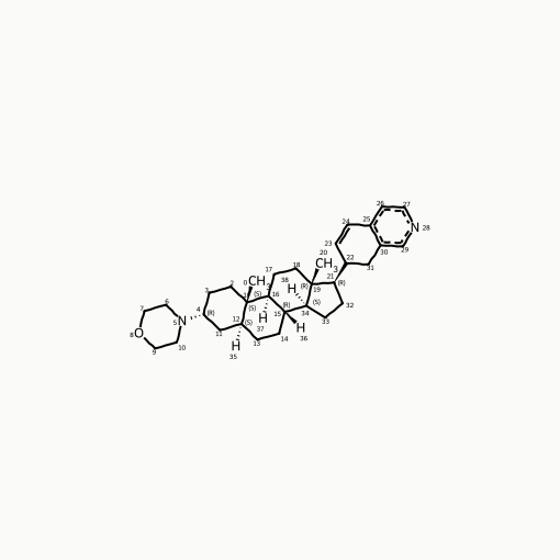 C[C@]12CC[C@@H](N3CCOCC3)C[C@@H]1CC[C@@H]1[C@@H]2CC[C@]2(C)[C@@H](C3C=Cc4ccncc4C3)CC[C@@H]12